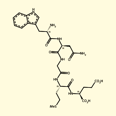 CSCC[C@H](NC(=O)CNC(=O)[C@H](CC(N)=O)NC(=O)[C@@H](N)Cc1c[nH]c2ccccc12)C(=O)N[C@@H](CCC(=O)O)C(=O)O